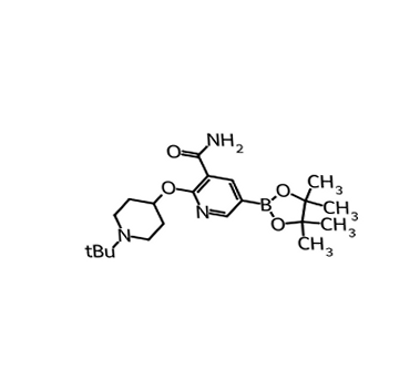 CC(C)(C)N1CCC(Oc2ncc(B3OC(C)(C)C(C)(C)O3)cc2C(N)=O)CC1